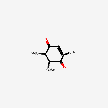 CO[C]1C(=O)C=C(C)C(=O)C1OC